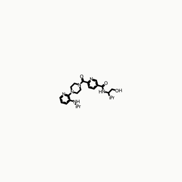 CC(C)Nc1cccnc1N1CCN(C(=O)c2ccc(C(=O)NC(CO)C(C)C)cn2)CC1